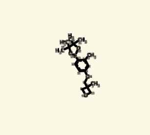 Cc1cc(OCC2(C)COC2)ccc1B1OC(C)(C)C(C)(C)O1